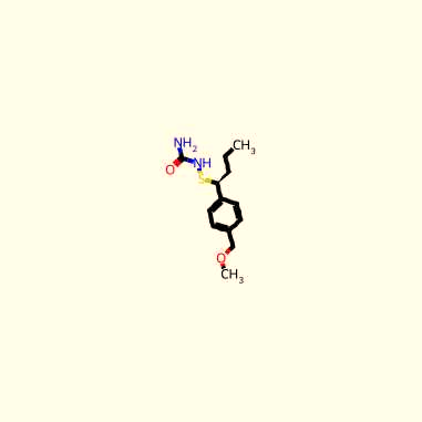 CCC[C@H](SNC(N)=O)c1ccc(COC)cc1